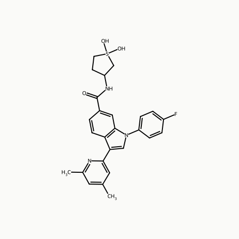 Cc1cc(C)nc(-c2cn(-c3ccc(F)cc3)c3cc(C(=O)NC4CCS(O)(O)C4)ccc23)c1